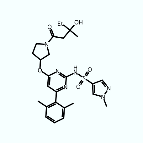 CCC(C)(O)CC(=O)N1CCC(Oc2cc(-c3c(C)cccc3C)nc(NS(=O)(=O)c3cnn(C)c3)n2)C1